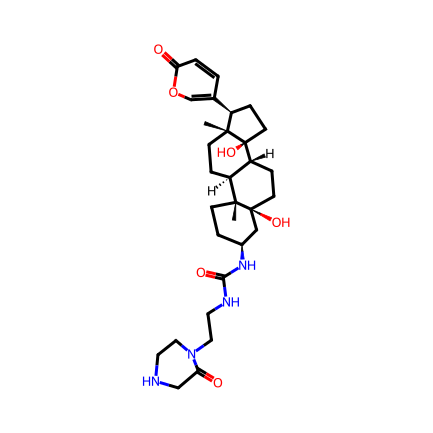 C[C@]12CC[C@H](NC(=O)NCCN3CCNCC3=O)C[C@@]1(O)CC[C@@H]1[C@@H]2CC[C@]2(C)[C@@H](c3ccc(=O)oc3)CC[C@]12O